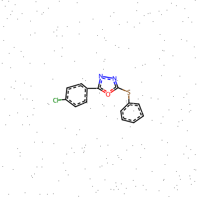 Clc1ccc(-c2nnc(Sc3ccccc3)o2)cc1